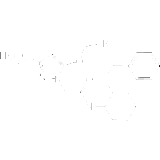 CC(C)(C)COc1cc(C(=O)O)nn1CC(=O)NC1CCCCC1OCc1ccccc1